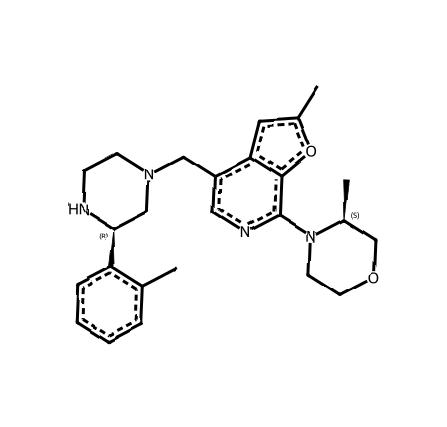 Cc1cc2c(CN3CCN[C@H](c4ccccc4C)C3)cnc(N3CCOC[C@@H]3C)c2o1